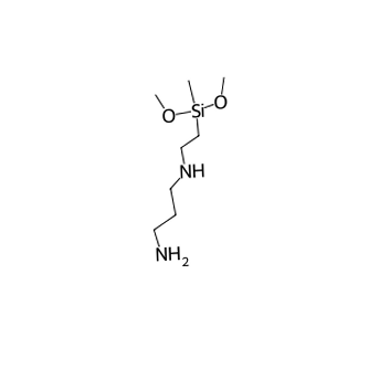 CO[Si](C)(CCNCCCN)OC